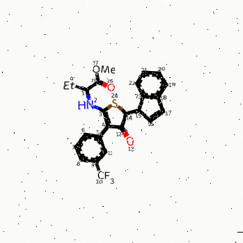 CCC(NC1=C(c2cccc(C(F)(F)F)c2)C(=O)C(C2C=Cc3ccccc32)S1)C(=O)OC